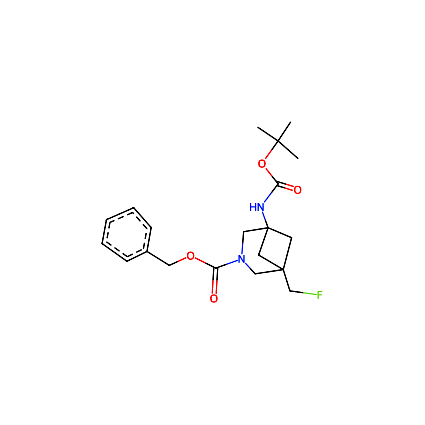 CC(C)(C)OC(=O)NC12CN(C(=O)OCc3ccccc3)CC(CF)(C1)C2